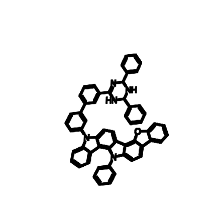 c1ccc(C2N=C(c3cccc(-c4cccc(-n5c6ccccc6c6c5ccc5c7c8oc9ccccc9c8ccc7n(-c7ccccc7)c56)c4)c3)NC(c3ccccc3)N2)cc1